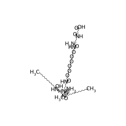 CCCCCCCCCCCCCCCC(=O)N(C)C(CCCCNC(O)CCCCCCCCCCCCCCC)C(=O)NC(CCCCNC(=O)CCOCCOCCOCCOCCOCCOCCNC(=O)C(N)CCCCNC(=O)CCCC(=O)O)C(N)=O